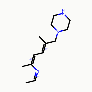 C\C=N/C(C)=C\C=C(/C)CN1CCNCC1